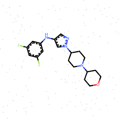 Fc1cc(F)cc(Nc2cnn(C3CCN(C4CCOCC4)CC3)c2)c1